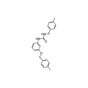 Cc1ccc(SNC(=O)Nc2cccc(OSc3ccc(C)cc3)c2)cc1